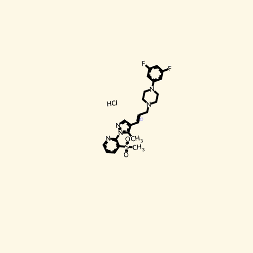 Cc1c(/C=C/CN2CCN(c3cc(F)cc(F)c3)CC2)cnn1-c1ncccc1S(C)(=O)=O.Cl